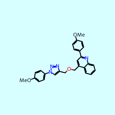 COc1ccc(-c2cc(COCc3cn(-c4ccc(OC)cc4)nn3)c3ccccc3n2)cc1